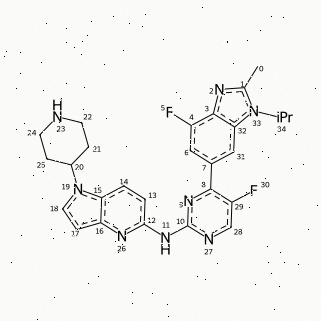 Cc1nc2c(F)cc(-c3nc(Nc4ccc5c(ccn5C5CCNCC5)n4)ncc3F)cc2n1C(C)C